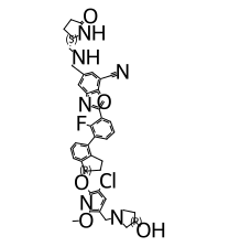 COc1nc(O[C@@H]2CCc3c(-c4cccc(-c5nc6cc(CNC[C@@H]7CCC(=O)N7)cc(C#N)c6o5)c4F)cccc32)c(Cl)cc1CN1CC[C@@H](O)C1